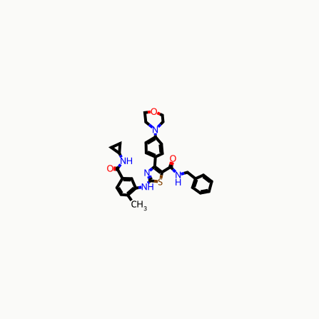 Cc1ccc(C(=O)NC2CC2)cc1Nc1nc(-c2ccc(N3CCOCC3)cc2)c(C(=O)NCc2ccccc2)s1